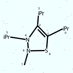 CC(C)C1=C(C(C)C)N(C(C)C)N(C)S1